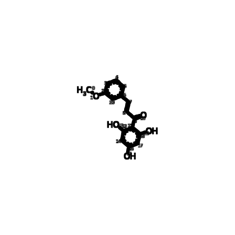 COc1cccc(C=CC(=O)c2c(O)cc(O)cc2O)c1